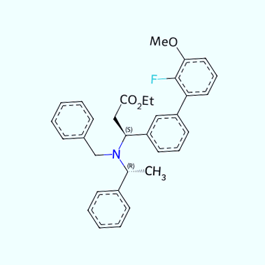 CCOC(=O)C[C@@H](c1cccc(-c2cccc(OC)c2F)c1)N(Cc1ccccc1)[C@H](C)c1ccccc1